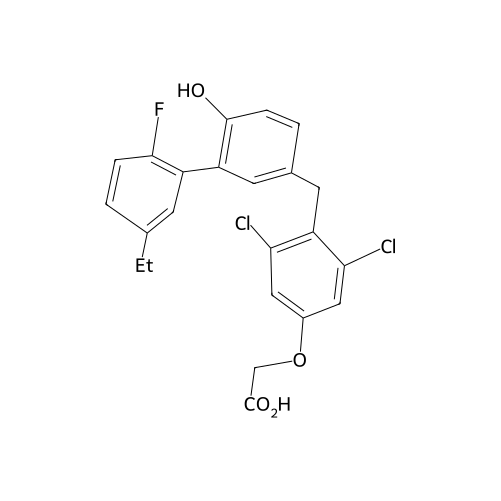 CCc1ccc(F)c(-c2cc(Cc3c(Cl)cc(OCC(=O)O)cc3Cl)ccc2O)c1